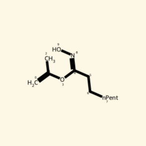 C=C(C)OC(CCCCCCC)=NO